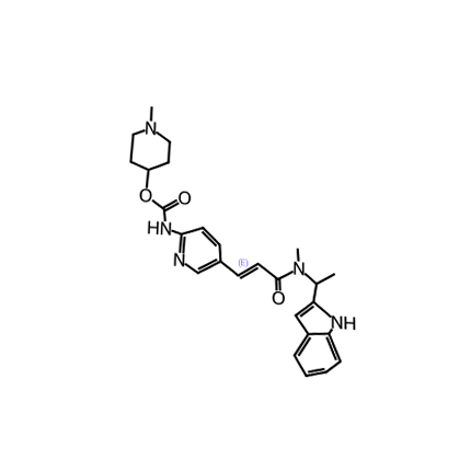 CC(c1cc2ccccc2[nH]1)N(C)C(=O)/C=C/c1ccc(NC(=O)OC2CCN(C)CC2)nc1